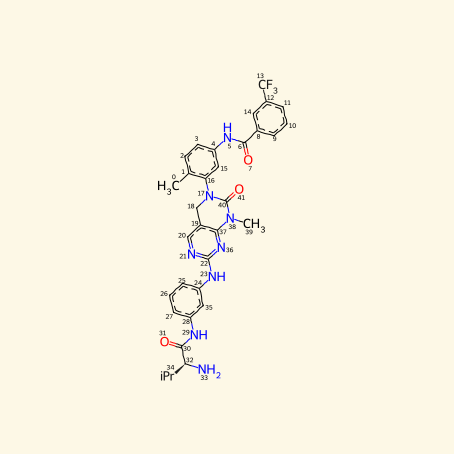 Cc1ccc(NC(=O)c2cccc(C(F)(F)F)c2)cc1N1Cc2cnc(Nc3cccc(NC(=O)[C@@H](N)C(C)C)c3)nc2N(C)C1=O